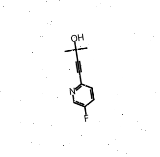 CC(C)(O)C#Cc1ccc(F)cn1